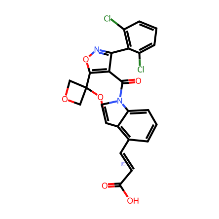 COC1(c2onc(-c3c(Cl)cccc3Cl)c2C(=O)n2ccc3c(/C=C/C(=O)O)cccc32)COC1